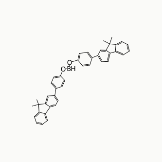 CC1(C)c2ccccc2-c2ccc(-c3ccc(OBOc4ccc(-c5ccc6c(c5)C(C)(C)c5ccccc5-6)cc4)cc3)cc21